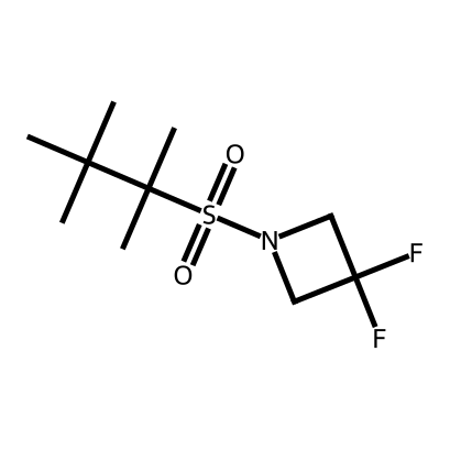 CC(C)(C)C(C)(C)S(=O)(=O)N1CC(F)(F)C1